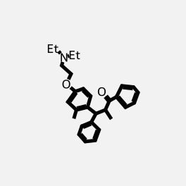 CCN(CC)CCOc1ccc(C(c2ccccc2)C(C)C(=O)c2ccccc2)c(C)c1